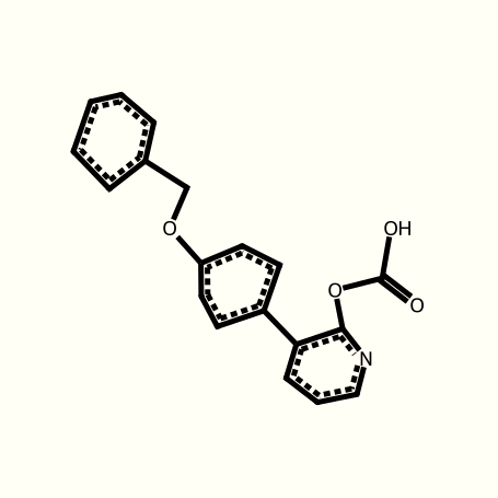 O=C(O)Oc1ncccc1-c1ccc(OCc2ccccc2)cc1